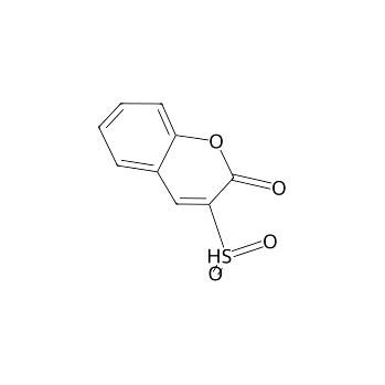 O=c1oc2ccccc2cc1[SH](=O)=O